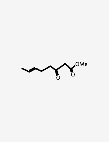 CC=CCCC(=O)CC(=O)OC